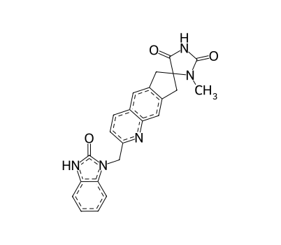 CN1C(=O)NC(=O)C12Cc1cc3ccc(Cn4c(=O)[nH]c5ccccc54)nc3cc1C2